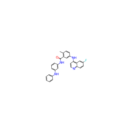 Cc1ccc(Nc2ccnc3ccc(F)cc23)cc1C(=O)Nc1cccc(Nc2ccccc2)c1